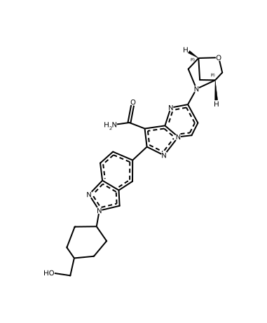 NC(=O)c1c(-c2ccc3nn(C4CCC(CO)CC4)cc3c2)nn2ccc(N3C[C@H]4C[C@@H]3CO4)nc12